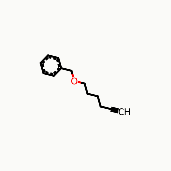 C#CCCCCOCc1ccccc1